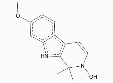 COc1ccc2c3c([nH]c2c1)C(C)(C)N(O)C=C3